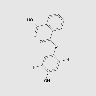 O=C(O)c1ccccc1C(=O)Oc1cc(I)c(O)cc1I